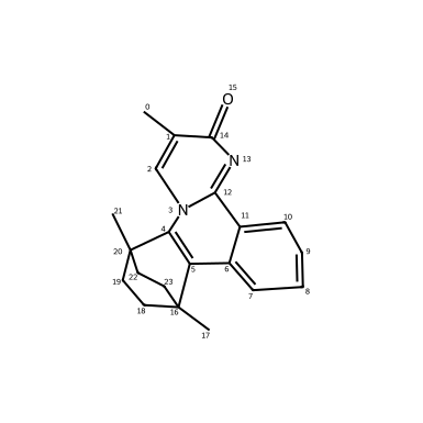 Cc1cn2c3c(c4ccccc4c2nc1=O)C1(C)CCC3(C)CC1